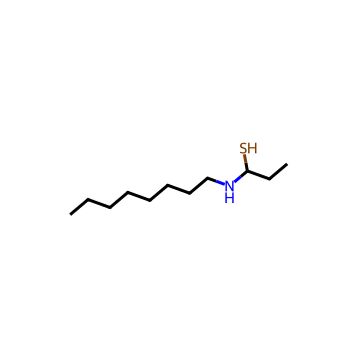 CCCCCCCCNC(S)CC